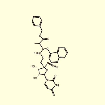 CC(C(=O)OCc1ccccc1)N(Oc1cccc2ccccc12)[PH](=O)OC[C@@]1(N=[N+]=[N-])O[C@@H](n2ccc(=O)[nH]c2=O)[C@H](O)[C@@H]1O